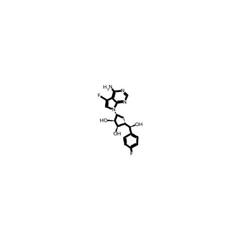 Nc1ncnc2c1c(F)cn2[C@@H]1C[C@H]([C@@H](O)c2ccc(F)cc2)[C@@H](O)[C@H]1O